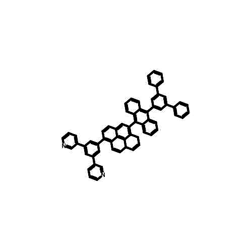 C1=CC2C=Cc3c(-c4cc(-c5cccnc5)cc(-c5cccnc5)c4)ccc4cc(-c5c6ccccc6c(-c6cc(-c7ccccc7)cc(-c7ccccc7)c6)c6ccccc56)c(c2c34)C1